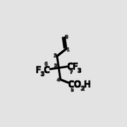 C=CCC(CC(=O)O)(C(F)(F)F)C(F)(F)F